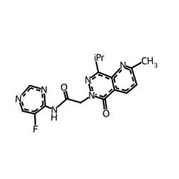 Cc1ccc2c(=O)n(CC(=O)Nc3ncncc3F)nc(C(C)C)c2n1